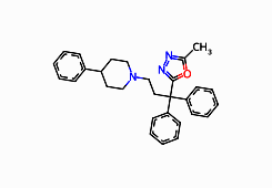 Cc1nnc(C(CCN2CCC(c3ccccc3)CC2)(c2ccccc2)c2ccccc2)o1